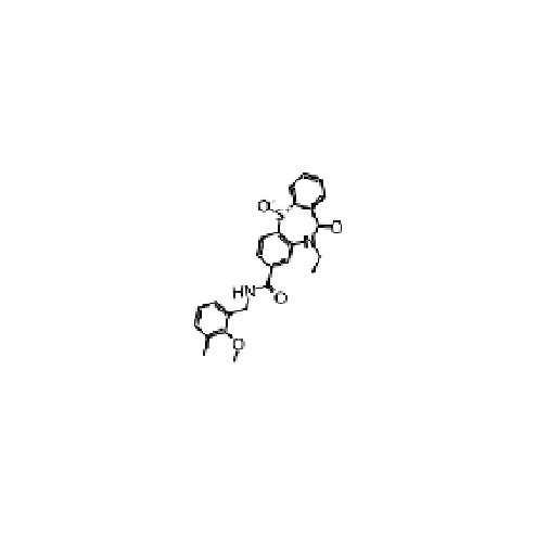 CCN1C(=O)c2ccccc2[S+]([O-])c2ccc(C(=O)NCc3cccc(C)c3OC)cc21